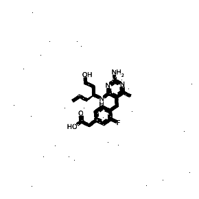 CCC[C@@H](CCO)Nc1nc(N)nc(C)c1Cc1ccc(CC(=O)O)cc1F